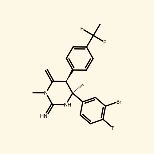 C=C1[C@@H](c2ccc(C(C)(F)F)cc2)[C@@](C)(c2ccc(F)c(Br)c2)NC(=N)N1C